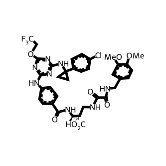 COc1ccc(CNC(=O)C(=O)NCC[C@H](NC(=O)c2ccc(Nc3nc(NC4(c5ccc(Cl)cc5)CC4)nc(OCC(F)(F)F)n3)cc2)C(=O)O)cc1OC